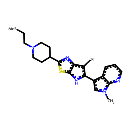 CSCCN1CCC(c2nc3c(C(C)C)c(-c4cn(C)c5ncccc45)[nH]c3s2)CC1